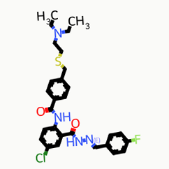 CCN(CC)CCSCc1ccc(C(=O)Nc2ccc(Cl)cc2C(=O)N/N=C/c2ccc(F)cc2)cc1